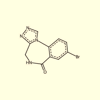 O=C1NCc2nncn2-c2ccc(Br)cc21